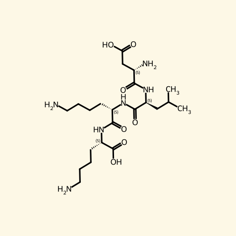 CC(C)C[C@H](NC(=O)[C@@H](N)CC(=O)O)C(=O)N[C@@H](CCCCN)C(=O)N[C@@H](CCCCN)C(=O)O